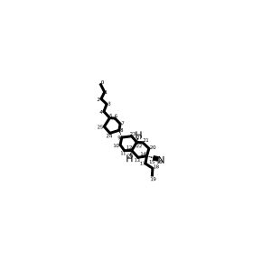 CCCCCC1CCC([C@H]2CC[C@@H]3C[C@](C#N)(CCC)CC[C@@H]3C2)CC1